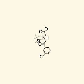 COC(=O)CNC[C@H](O[Si](C)(C)C(C)(C)C)c1cccc(Cl)c1